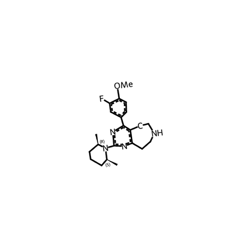 COc1ccc(-c2nc(N3[C@H](C)CCC[C@@H]3C)nc3c2CCNCC3)cc1F